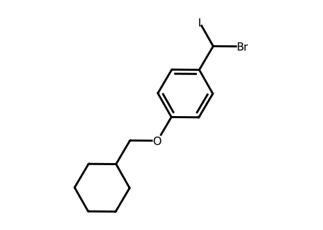 BrC(I)c1ccc(OCC2CCCCC2)cc1